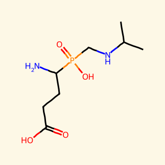 CC(C)NCP(=O)(O)C(N)CCC(=O)O